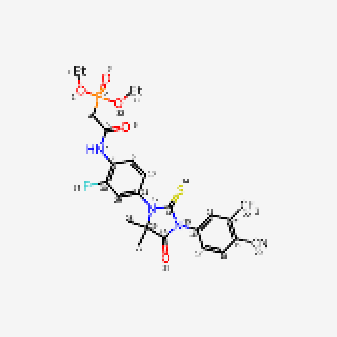 CCOP(=O)(CC(=O)Nc1ccc(N2C(=S)N(c3ccc(C#N)c(C(F)(F)F)c3)C(=O)C2(C)C)cc1F)OCC